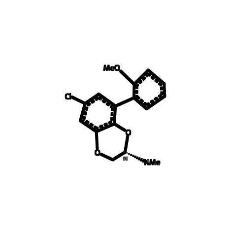 CN[C@@H]1COc2cc(Cl)cc(-c3ccccc3OC)c2O1